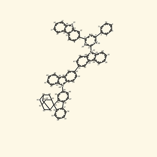 c1ccc(-c2nc(-c3ccc4c(c3)sc3ccccc34)nc(-n3c4ccccc4c4cc(-c5ccc6c(c5)c5ccccc5n6-c5ccc6c(c5)C5(c7ccccc7-6)C6CC7CC(C6)CC5C7)ccc43)n2)cc1